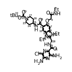 CCNC(=O)COc1cc2c(cc1C(=O)NC1CCN(C(=O)OC(C)(C)C)CC1)[n+](CC)c(CNC(=O)c1nc(Cl)c(N)nc1N)n2CC